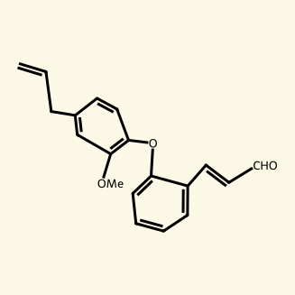 C=CCc1ccc(Oc2ccccc2C=CC=O)c(OC)c1